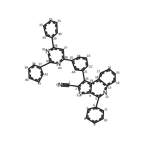 N#Cc1sc2c(-c3ccccc3)nc3ccccc3c2c1-c1cccc(-c2cc(-c3ccccc3)nc(-c3ccccc3)n2)c1